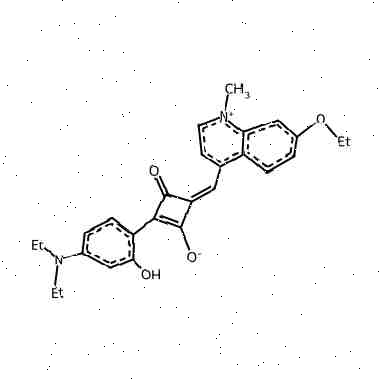 CCOc1ccc2c(/C=C3\C(=O)C(c4ccc(N(CC)CC)cc4O)=C3[O-])cc[n+](C)c2c1